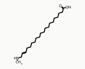 CNC/C=C/CCCCCCCCCCCCCCCCC(=O)O